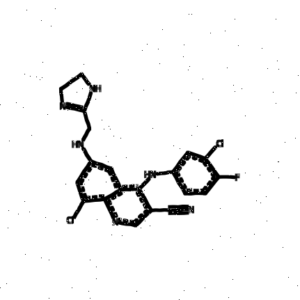 N#Cc1cnc2c(Cl)cc(NCC3=NCCN3)cc2c1Nc1ccc(F)c(Cl)c1